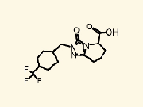 O=C(O)C1CCCc2nn(CC3CCC(C(F)(F)F)CC3)c(=O)n21